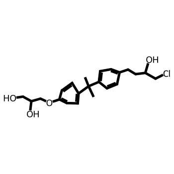 CC(C)(c1ccc(CCC(O)CCl)cc1)c1ccc(OCC(O)CO)cc1